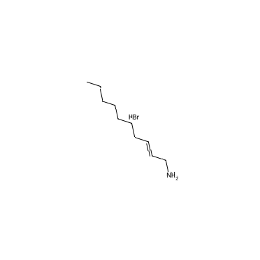 Br.CCCCCCCC=CCN